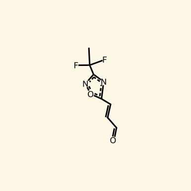 CC(F)(F)c1noc(C=CC=O)n1